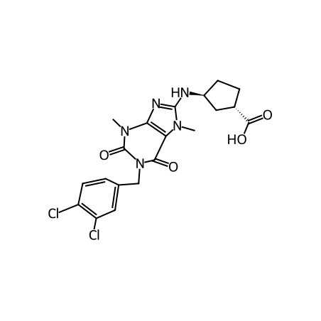 Cn1c(N[C@H]2CC[C@H](C(=O)O)C2)nc2c1c(=O)n(Cc1ccc(Cl)c(Cl)c1)c(=O)n2C